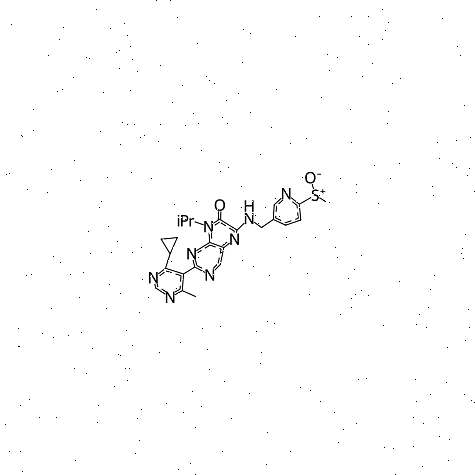 Cc1ncnc(C2CC2)c1-c1ncc2nc(NCc3ccc([S+](C)[O-])nc3)c(=O)n(C(C)C)c2n1